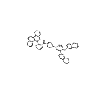 NC(/C=C(\C=C\c1ccc2ccccc2c1)c1ccc2c(c1)CCC=C2)C1=CC=C(NC2=C(c3cc4c(c5ccc6ccccc6c35)CCC=C4)CCC=C2)CC1